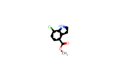 COC(=O)c1ccc(Cl)c2[nH]ccc12